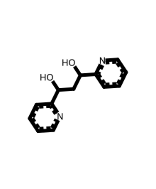 OC(CC(O)c1ccccn1)c1ccccn1